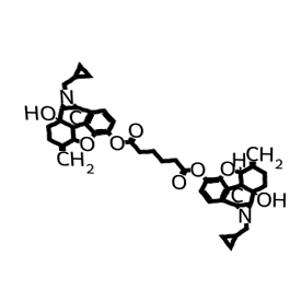 C=C1CC[C@@]2(O)C3N(CC4CC4)C34C[C@@]23c2c4ccc(OC(=O)CCCCC(=O)Oc4ccc5c6c4O[C@H]4C(=C)CC[C@@]7(O)C8N(CC9CC9)C58C[C@]647)c2OC13